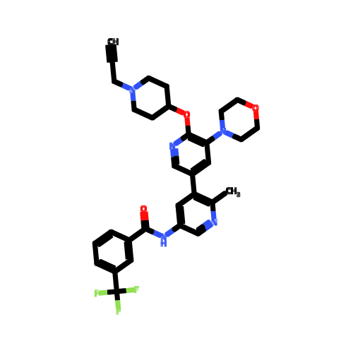 C#CCN1CCC(Oc2ncc(-c3cc(NC(=O)c4cccc(C(F)(F)F)c4)cnc3C)cc2N2CCOCC2)CC1